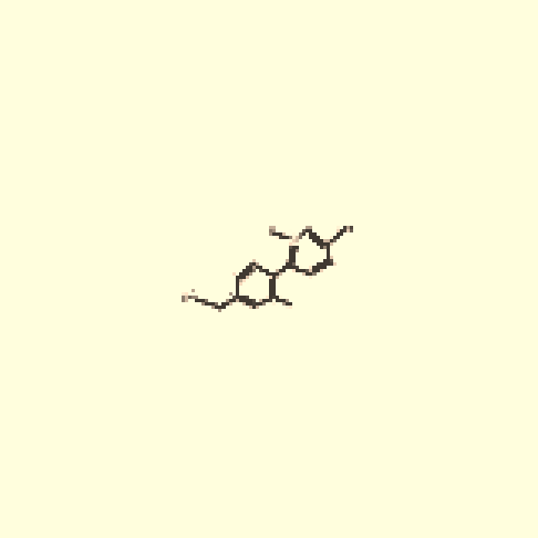 CCc1ccc(-c2ccc(CC(C)C)cc2C)[n+](C)c1